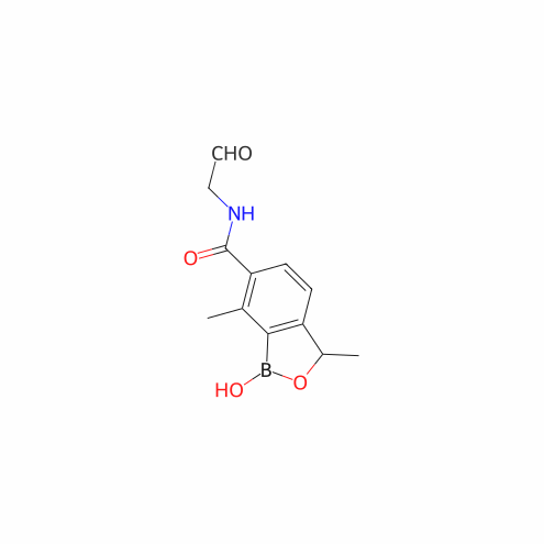 Cc1c(C(=O)NCC=O)ccc2c1B(O)OC2C